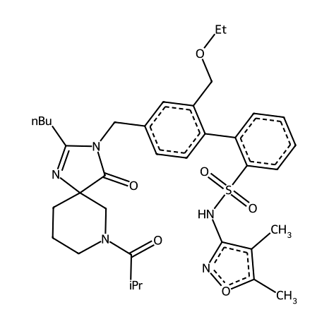 CCCCC1=NC2(CCCN(C(=O)C(C)C)C2)C(=O)N1Cc1ccc(-c2ccccc2S(=O)(=O)Nc2noc(C)c2C)c(COCC)c1